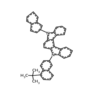 CC(C)(C)c1cccc2cc(-n3c4ccccc4c4c5c6ccccc6n(-c6ccc7ccccc7c6)c5ccc43)ccc12